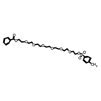 Cc1ccc(S(=O)(=O)OCCOCCOCCOCCOCCOCCOCCOC(=O)c2ccccc2)cc1